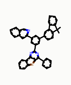 CC1(C)c2ccccc2-c2cc(-c3cc(-c4cc5ccccc5cn4)cc(-c4nc(-c5ccccc5)c5sc6ccccc6c5n4)c3)ccc21